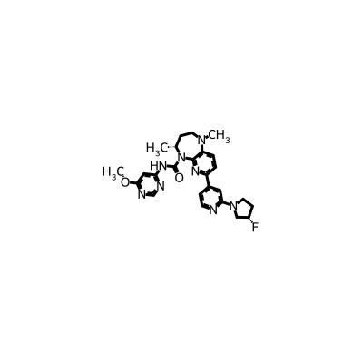 COc1cc(NC(=O)N2c3nc(-c4ccnc(N5CC[C@H](F)C5)c4)ccc3N(C)CC[C@H]2C)ncn1